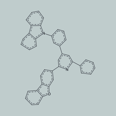 c1ccc(-c2cc(-c3cccc(-n4c5ccccc5c5ccccc54)c3)cc(-c3ccc4c(c3)oc3ccccc34)n2)cc1